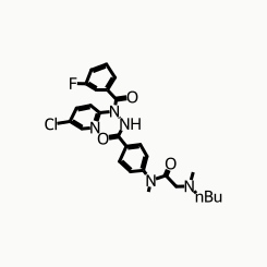 CCCCN(C)CC(=O)N(C)c1ccc(C(=O)NN(C(=O)c2cccc(F)c2)c2ccc(Cl)cn2)cc1